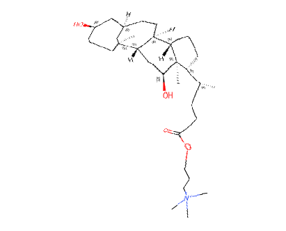 C[C@H](CCC(=O)OCCC[N+](C)(C)C)[C@H]1CC[C@H]2[C@@H]3CC[C@@H]4C[C@H](O)CC[C@]4(C)[C@H]3C[C@H](O)[C@]12C